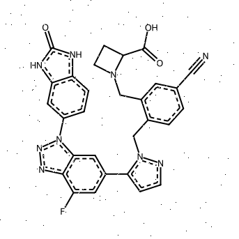 N#Cc1ccc(Cn2nccc2-c2cc(F)c3nnn(-c4ccc5[nH]c(=O)[nH]c5c4)c3c2)c(CN2CCC2C(=O)O)c1